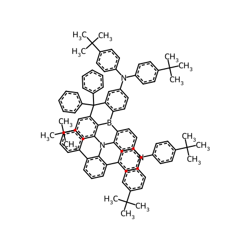 CC(C)(C)c1ccc(N(c2ccc(C(C)(C)C)cc2)c2ccc3c(c2)N(c2c(-c4ccccc4)cccc2-c2ccccc2)c2cc(C(C)(C)C)cc4c2B3c2ccc(N(c3ccc(C(C)(C)C)cc3)c3ccc(C(C)(C)C)cc3)cc2C4(c2ccccc2)c2ccccc2)cc1